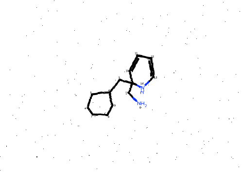 NCC1(CC2CCCCC2)C=CC=CN1